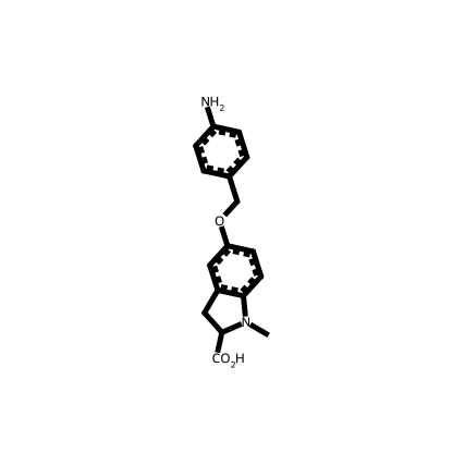 CN1c2ccc(OCc3ccc(N)cc3)cc2CC1C(=O)O